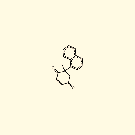 CC1(c2cccc3ccccc23)CC(=O)C=CC1=O